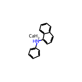 [CaH2].c1ccc(Nc2cccc3ccccc23)cc1